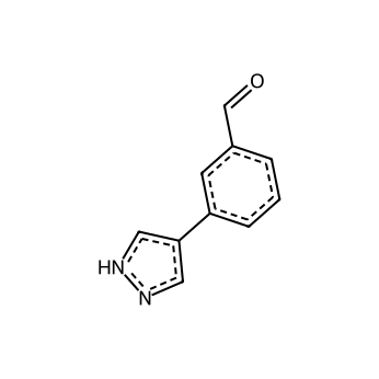 O=Cc1cccc(-c2cn[nH]c2)c1